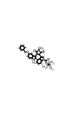 CN1C(=O)C(c2c[nH]c3ccc(OCc4ccccc4)cc23)=C(c2cn(C(=O)OC(C)(C)C)c3ccccc23)C1=O